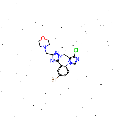 Clc1ncn2c1Cn1nc(CN3CCOCC3)nc1-c1cc(Br)ccc1-2